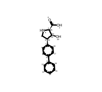 O=C(O)[C@@H]1NC[C@H](c2ccc(-c3ccccc3)cc2)[C@@H]1O